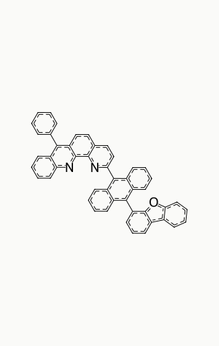 c1ccc(-c2c3ccccc3nc3c2ccc2ccc(-c4c5ccccc5c(-c5cccc6c5oc5ccccc56)c5ccccc45)nc23)cc1